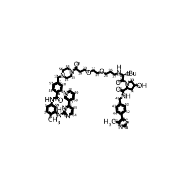 Cc1ccc(NC(=O)c2ccc(CN3CCN(C(=O)CCOCCOCCCN[C@H](C(=O)N4CC(O)CC4C(=O)NCc4ccc(-c5scnc5C)cc4)C(C)(C)C)CC3)cc2)cc1Nc1nccc(-c2cccnc2)n1